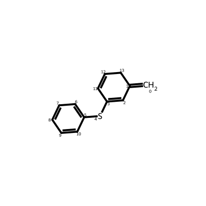 C=C1C=C(Sc2ccccc2)C=CC1